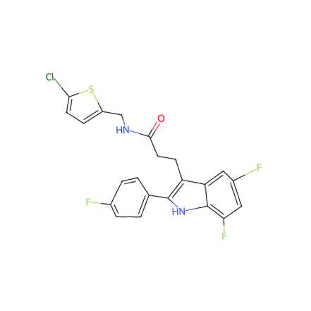 O=C(CCc1c(-c2ccc(F)cc2)[nH]c2c(F)cc(F)cc12)NCc1ccc(Cl)s1